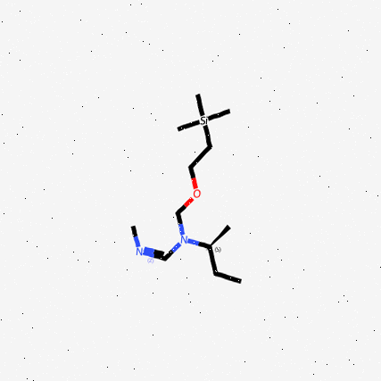 CC[C@H](C)N(/C=N\C)COCC[Si](C)(C)C